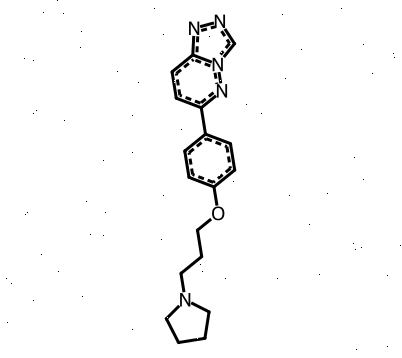 c1cc(-c2ccc3nncn3n2)ccc1OCCCN1CCCC1